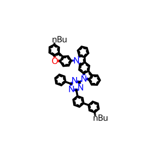 CCCCc1cccc(-c2cccc(-c3nc(-c4ccccc4)nc(-n4c5ccccc5c5cc6c7ccccc7n(-c7ccc8oc9ccc(CCCC)cc9c8c7)c6cc54)n3)c2)c1